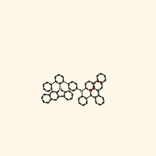 c1ccc(-c2ccc(N(c3ccc(-c4cccc(-c5ccccc5)c4-n4c5ccccc5c5cc6ccccc6cc54)cc3)c3ccccc3-c3cc4ccccc4c4ccccc34)cc2)cc1